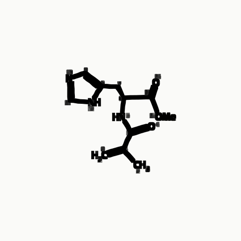 C=C(C)C(=O)N[C@@H](Cc1cnc[nH]1)C(=O)OC